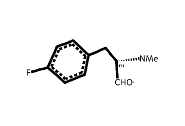 CN[C@H]([C]=O)Cc1ccc(F)cc1